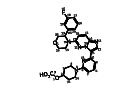 O=C(O)OC1CCN(c2cccc(-c3cnc4ccc(N5CCOCC5c5cccc(F)c5)nn34)n2)CC1